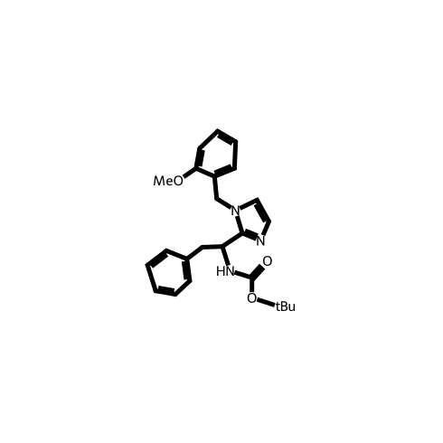 COc1ccccc1Cn1ccnc1C(Cc1ccccc1)NC(=O)OC(C)(C)C